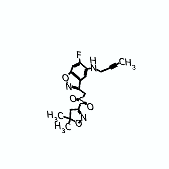 CC#CCNc1cc2c(CS(=O)(=O)C3=NOC(C)(C)C3)noc2cc1F